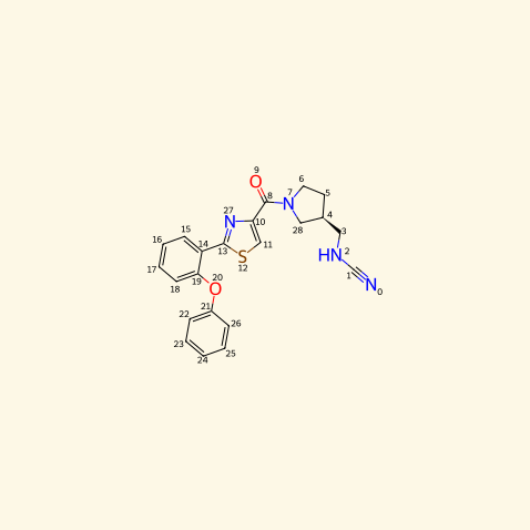 N#CNC[C@@H]1CCN(C(=O)c2csc(-c3ccccc3Oc3ccccc3)n2)C1